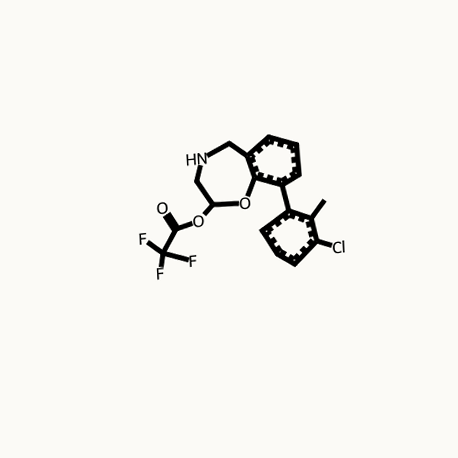 Cc1c(Cl)cccc1-c1cccc2c1OC(OC(=O)C(F)(F)F)CNC2